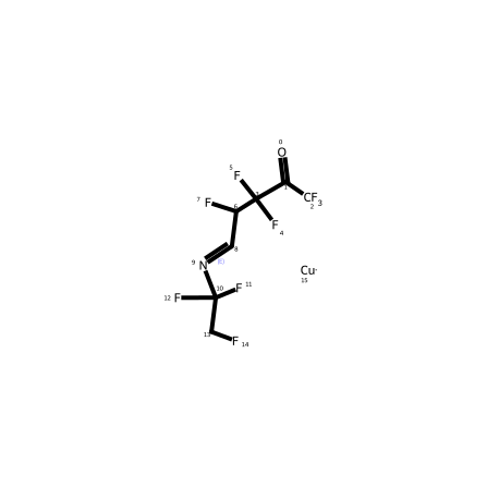 O=C(C(F)(F)F)C(F)(F)C(F)/C=N/C(F)(F)CF.[Cu]